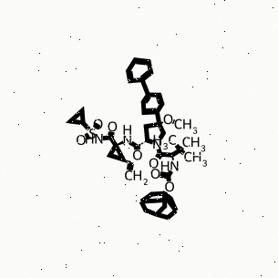 C=C[C@@H]1C[C@]1(NC(=O)[C@@H]1C[C@@](OC)(c2ccc(-c3ccccc3)cc2)CN1C(=O)[C@@H](NC(=O)OC12CC3CC(CC(C3)C1)C2)C(C)(C)C)C(=O)NS(=O)(=O)C1CC1